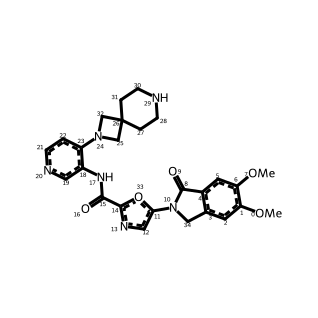 COc1cc2c(cc1OC)C(=O)N(c1cnc(C(=O)Nc3cnccc3N3CC4(CCNCC4)C3)o1)C2